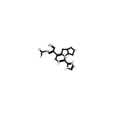 N=C/C(=C\NC(F)F)C1=C2CC3CCCC3N2C(c2nccs2)=NC1